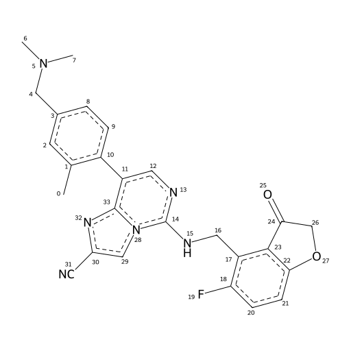 Cc1cc(CN(C)C)ccc1-c1cnc(NCc2c(F)ccc3c2C(=O)CO3)n2cc(C#N)nc12